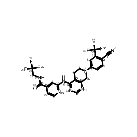 N#Cc1ccc(N2CCc3c(ncnc3Nc3cc(C(=O)NCC(F)(F)F)ccn3)C2)cc1C(F)(F)F